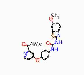 CNC(=O)c1cc(Oc2ccc(NC(=O)Nc3nc4ccc(OC(F)(F)F)cc4s3)cc2)ccn1